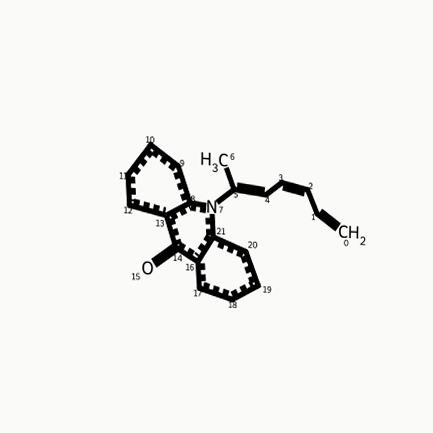 C=C/C=C\C=C(/C)n1c2ccccc2c(=O)c2ccccc21